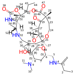 C=C(CC)NC[C@@H]1C[C@H](N(C)C)[C@@H](O)[C@H](O[C@@H]2[C@@H](C)C(=O)[C@@]3(C)CCO[C@@]2(C)C[C@@H](C)CN[C@H](C)[C@H]2NC(=O)O[C@]2(C)[C@@H](CC)OC3=O)O1